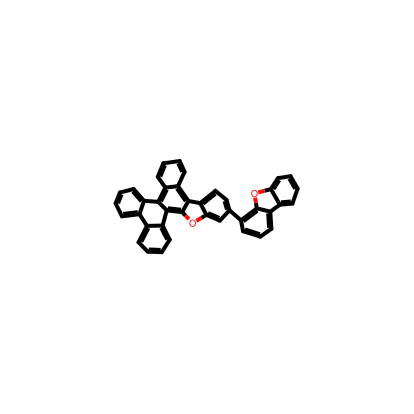 c1ccc2c(c1)oc1c(-c3ccc4c(c3)oc3c4c4ccccc4c4c5ccccc5c5ccccc5c34)cccc12